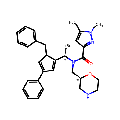 Cc1cc(C(=O)N(C[C@@H]2CNCCO2)[C@@H](C2=CC(c3ccccc3)=CC2Cc2ccccc2)C(C)(C)C)nn1C